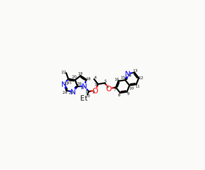 CCC(OC(C)COc1ccc2cccnc2c1)n1ccc2c(C)ncnc21